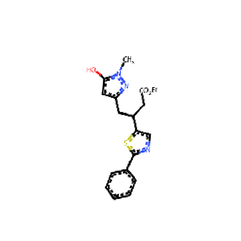 CCOC(=O)CC(Cc1cc(O)n(C)n1)c1cnc(-c2ccccc2)s1